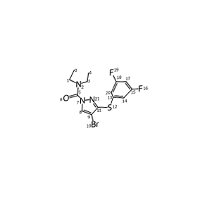 CCN(CC)C(=O)n1cc(Br)c(Sc2cc(F)cc(F)c2)n1